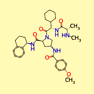 CN[C@@H](C)C(=O)N[C@H](C(=O)N1C[C@@H](NC(=O)c2ccc(OC)cc2)C[C@H]1C(=O)N[C@@H]1CCCc2ccccc21)C1CCCCC1